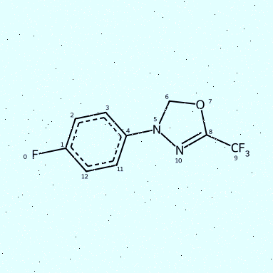 Fc1ccc(N2COC(C(F)(F)F)=N2)cc1